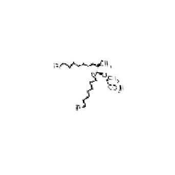 C=C(CCCCCCCC(C)C)C(=O)OCCCCCCCC(C)C.C=CC(=O)O